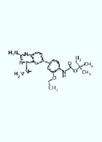 CCOc1cc(-c2ccc3nc(N)nc(NN)c3c2)ccc1NC(=O)OC(C)(C)C